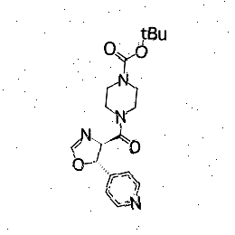 CC(C)(C)OC(=O)N1CCN(C(=O)[C@@H]2N=CO[C@H]2c2ccncc2)CC1